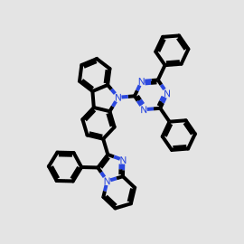 c1ccc(-c2nc(-c3ccccc3)nc(-n3c4ccccc4c4ccc(-c5nc6ccccn6c5-c5ccccc5)cc43)n2)cc1